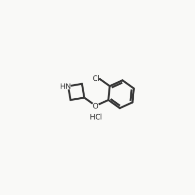 Cl.Clc1ccccc1OC1CNC1